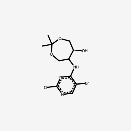 CC1(C)OCC(Nc2nc(Cl)ncc2Br)[C@H](O)CO1